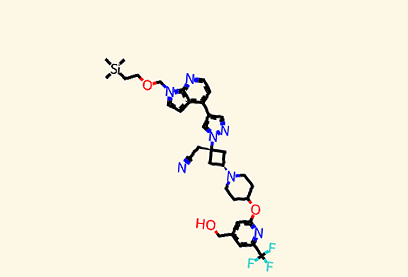 C[Si](C)(C)CCOCn1ccc2c(-c3cnn([C@]4(CC#N)C[C@H](N5CCC(Oc6cc(CO)cc(C(F)(F)F)n6)CC5)C4)c3)ccnc21